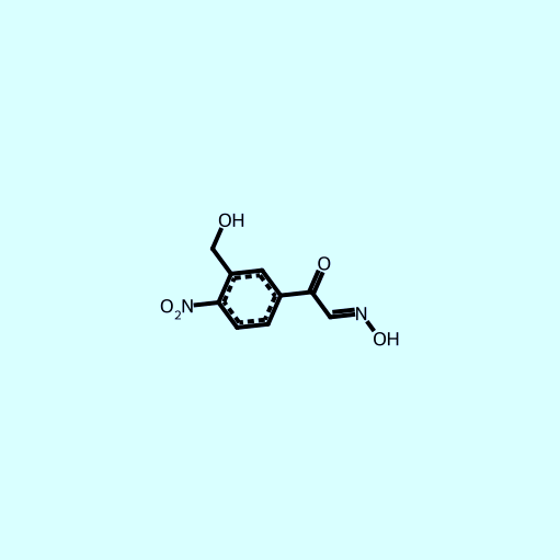 O=C(C=NO)c1ccc([N+](=O)[O-])c(CO)c1